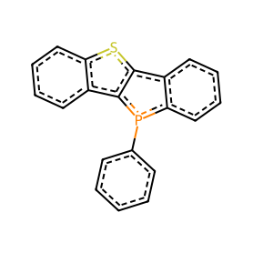 c1ccc(-p2c3ccccc3c3sc4ccccc4c32)cc1